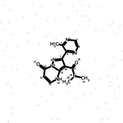 Cc1nccnc1-c1nn2c(=O)cc[nH]c2c1C(=O)N(C)C